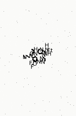 C=CC(=O)Nc1cc(Nc2nccc(N3NC(NCC)c4ncccc43)n2)c(OC(F)F)cc1N(C)CCN(C)C